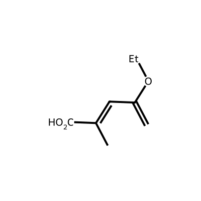 [CH2]COC(=C)C=C(C)C(=O)O